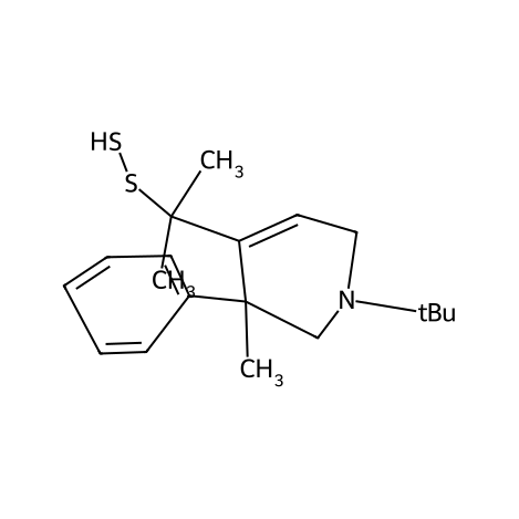 CC(C)(SS)C1=CCN(C(C)(C)C)CC1(C)c1ccccc1